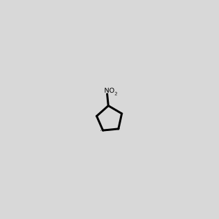 O=[N+]([O-])C1C[CH]CC1